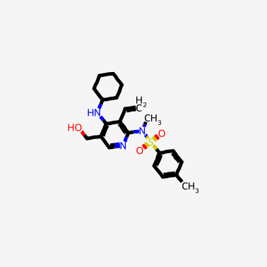 C=Cc1c(N(C)S(=O)(=O)c2ccc(C)cc2)ncc(CO)c1NC1CCCCC1